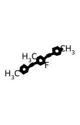 Cc1ccc(C#Cc2cc(F)c(C#Cc3ccc(C)cc3)cc2C)cc1